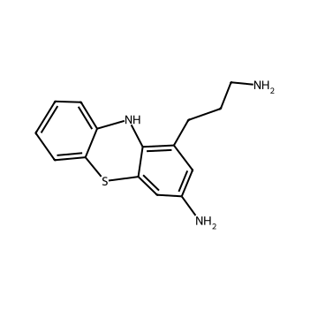 NCCCc1cc(N)cc2c1Nc1ccccc1S2